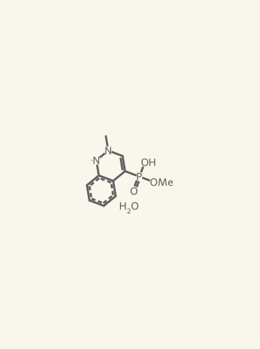 COP(=O)(O)C1=CN(C)[N]c2ccccc21.O